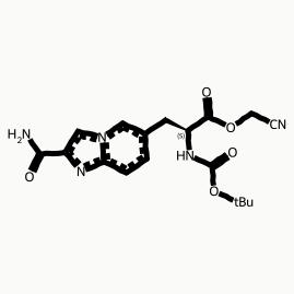 CC(C)(C)OC(=O)N[C@@H](Cc1ccc2nc(C(N)=O)cn2c1)C(=O)OCC#N